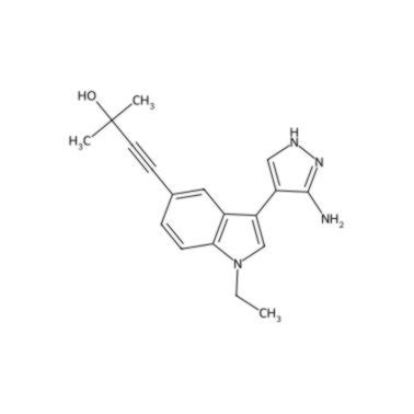 CCn1cc(-c2c[nH]nc2N)c2cc(C#CC(C)(C)O)ccc21